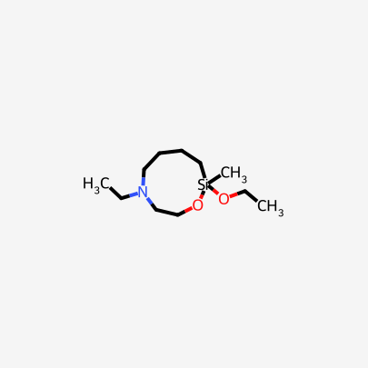 CCO[Si]1(C)CCCCN(CC)CCO1